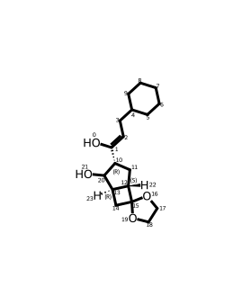 OC(=CCC1CCCCC1)[C@@H]1C[C@H]2[C@@H](CC23OCCO3)C1O